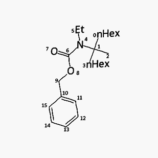 CCCCCCC(C)(CCCCCC)N(CC)C(=O)OCc1ccccc1